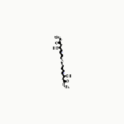 CC(C)(C)OC(=O)CC(O)/C=C/CCSSCC/C=C/C(O)CC(=O)OC(C)(C)C